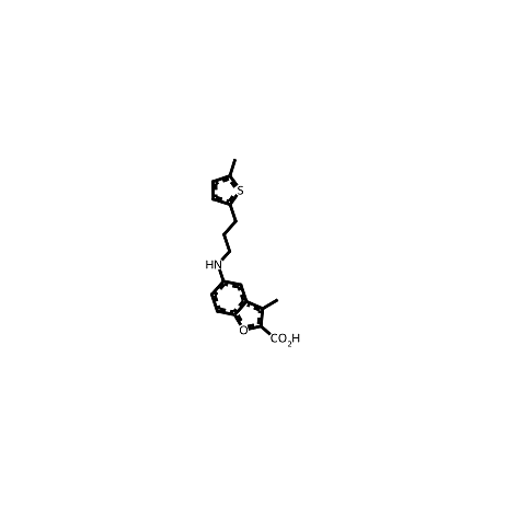 Cc1ccc(CCCNc2ccc3oc(C(=O)O)c(C)c3c2)s1